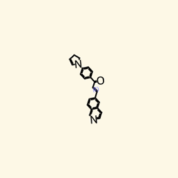 O=C(/C=C/c1ccc2cnccc2c1)c1ccc(N2C=CCC2)cc1